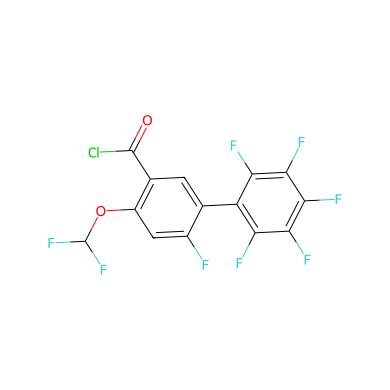 O=C(Cl)c1cc(-c2c(F)c(F)c(F)c(F)c2F)c(F)cc1OC(F)F